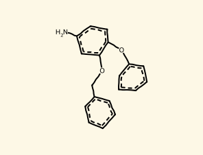 Nc1ccc(Oc2ccccc2)c(OCc2ccccc2)c1